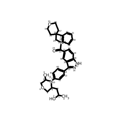 CC(O)CC1COCC(C)N1c1ccc(-c2n[nH]c3ccc(C(=O)NCC4(c5ccccc5)CCOCC4)cc23)cc1